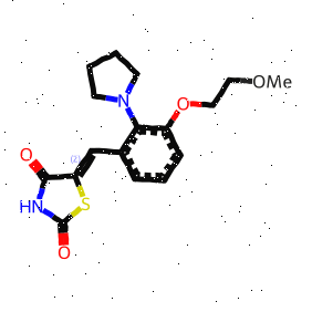 COCCOc1cccc(/C=C2\SC(=O)NC2=O)c1N1CCCC1